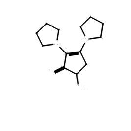 CC1CC(N2CCCC2)=C(N2CCCC2)C1=O